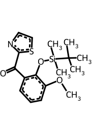 COc1cccc(C(=O)c2nccs2)c1O[Si](C)(C)C(C)(C)C